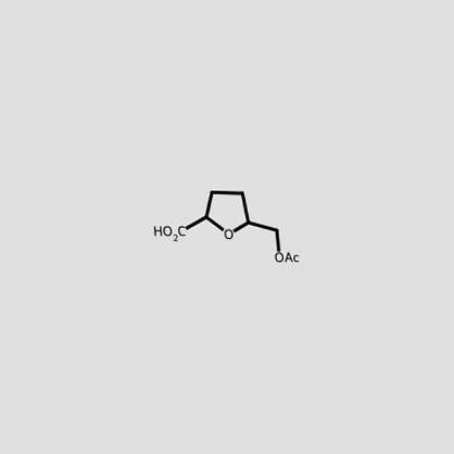 CC(=O)OCC1CCC(C(=O)O)O1